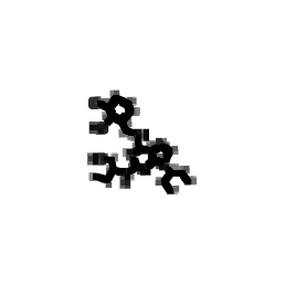 CCC(CO)Nc1nc(NCc2cccc(Cl)c2O)c2ncn(C(CC)CC)c2n1